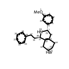 Br.COc1cccc([C@@H]2CC3=C(CCCC3)[C@@H](CCc3ccccc3)N2)c1